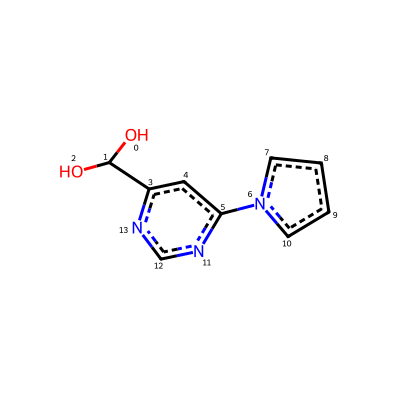 OC(O)c1cc(-n2cccc2)ncn1